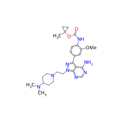 COc1cc(-c2nn(CCN3CCC(N(C)C)CC3)c3ncnc(N)c23)ccc1NC(=O)OC1(C)CC1